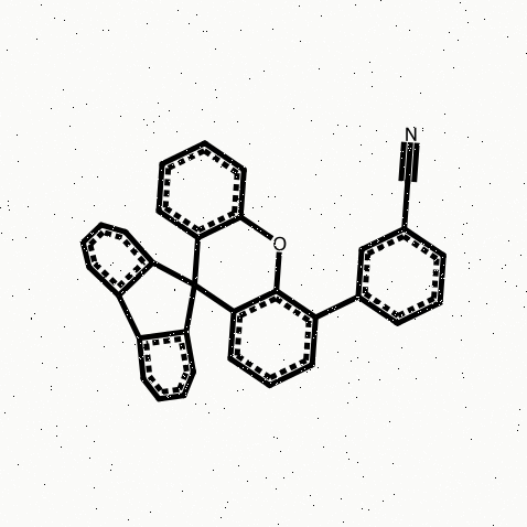 N#Cc1cccc(-c2cccc3c2Oc2ccccc2C32c3ccccc3-c3ccccc32)c1